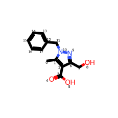 Cc1c(C(=O)O)c(CO)nn1Cc1ccccc1